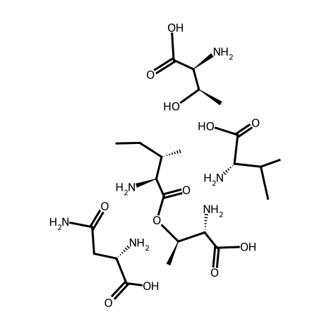 CC(C)[C@H](N)C(=O)O.CC[C@H](C)[C@H](N)C(=O)O[C@H](C)[C@H](N)C(=O)O.C[C@@H](O)[C@H](N)C(=O)O.NC(=O)C[C@H](N)C(=O)O